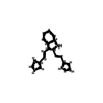 C(=C\c1[nH]c2ccccc2c1/C=C/c1cscn1)/c1cscn1